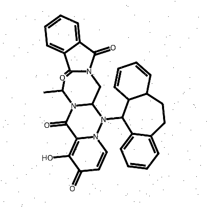 CC(C)N1C(=O)c2c(O)c(=O)ccn2N(C2c3ccccc3CCC3C=CC=CC32)C1CN1C(=O)c2ccccc2C1=O